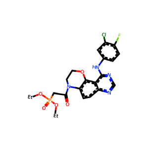 CCOP(=O)(CC(=O)N1CCOc2c1ccc1ncnc(Nc3ccc(F)c(Cl)c3)c21)OCC